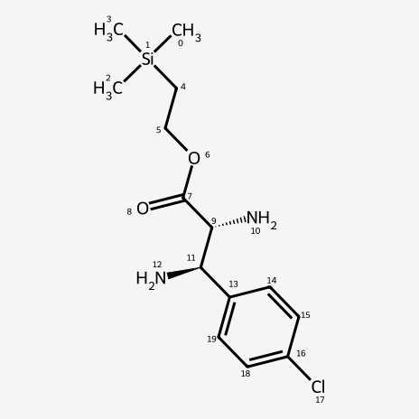 C[Si](C)(C)CCOC(=O)[C@H](N)[C@H](N)c1ccc(Cl)cc1